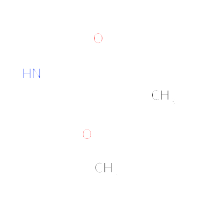 CCC1(COC)CNCCO1